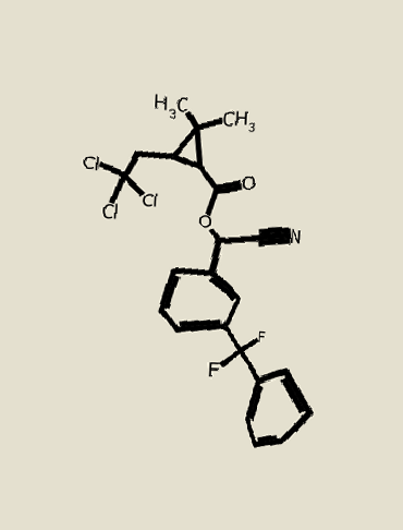 CC1(C)C(CC(Cl)(Cl)Cl)C1C(=O)OC(C#N)c1cccc(C(F)(F)c2ccccc2)c1